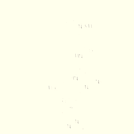 Cc1cc(Nc2ncnc3ccc(NC(=O)C=CC4CCCN4C)cc23)ccc1Oc1ccn2ccnc2c1